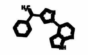 C=C(c1ccccc1)c1cnn(-c2ccnc3[nH]ccc23)c1